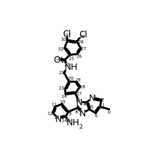 Cc1cnc2c(c1)nc(-c1cccnc1N)n2-c1ccc(CNC(=O)c2ccc(Cl)c(Cl)c2)cc1